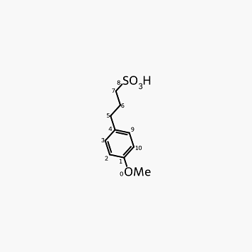 COc1ccc(CCCS(=O)(=O)O)cc1